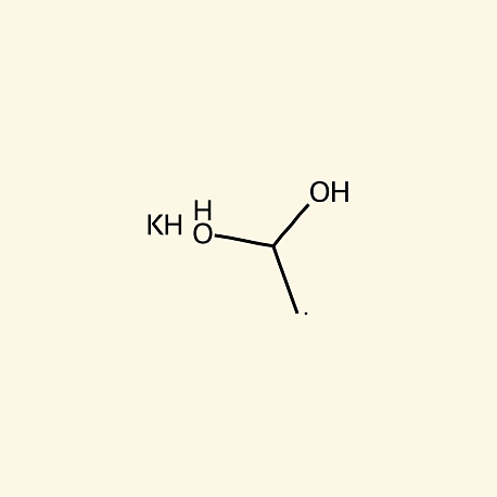 [CH2]C(O)O.[KH]